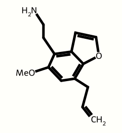 C=CCc1cc(OC)c(CCN)c2ccoc12